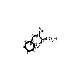 CCOC(=O)C(C(=O)OCC)N(Cc1ccccc1)C(C)=O